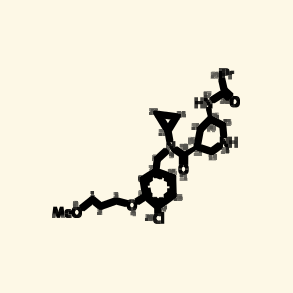 COCCCOc1cc(CN(C(=O)[C@@H]2CNC[C@H](NC(=O)C(C)C)C2)C2CC2)ccc1Cl